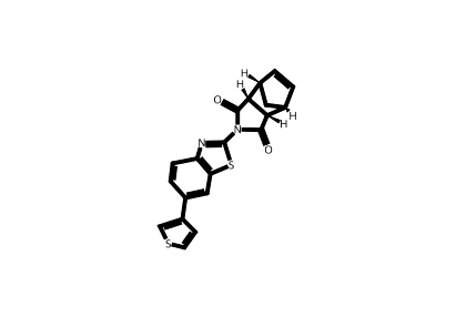 O=C1[C@@H]2[C@H](C(=O)N1c1nc3ccc(-c4ccsc4)cc3s1)[C@@H]1C=C[C@H]2C1